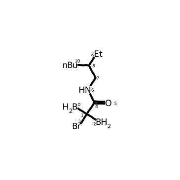 BC(B)(Br)C(=O)NCC(CC)CCCC